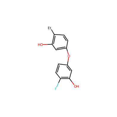 CCc1ccc(Oc2ccc(F)c(O)c2)cc1O